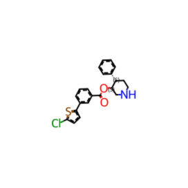 O=C(O[C@@H]1CNCC[C@H]1c1ccccc1)c1cccc(-c2ccc(Cl)s2)c1